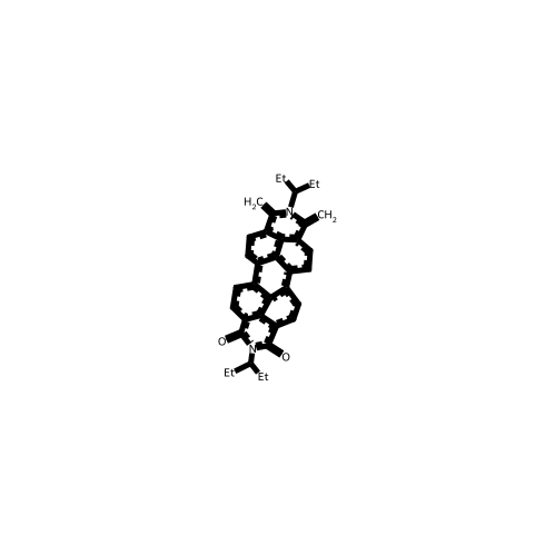 C=c1c2ccc3c4ccc5c(=O)n(C(CC)CC)c(=O)c6ccc(c7ccc(c(=C)n1C(CC)CC)c2c37)c4c56